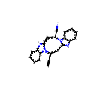 C#Cc1cc2nc3ccccc3n2c(C#N)cc2nc3ccccc3n12